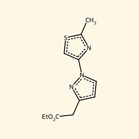 CCOC(=O)Cc1ccn(-c2csc(C)n2)n1